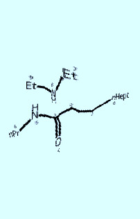 CCCCCCCCCC(=O)NCCC.CCNCC